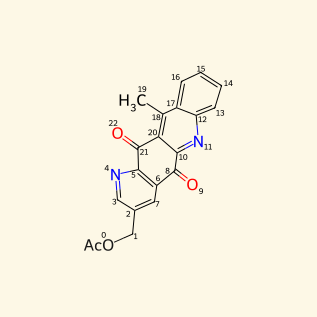 CC(=O)OCc1cnc2c(c1)C(=O)c1nc3ccccc3c(C)c1C2=O